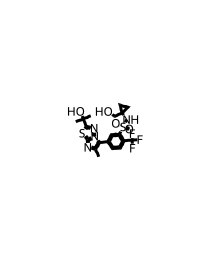 Cc1nc2sc(C(C)(C)O)nn2c1-c1ccc(C(F)(F)F)c(S(=O)(=O)NC2(CO)CC2)c1